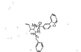 CCC(C)C(NS(=O)(=O)c1ccc2oc3ccccc3c2c1)C(=O)NOCc1ccccc1